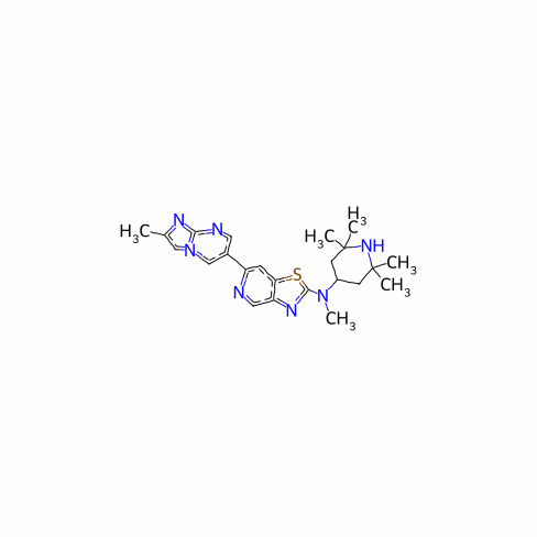 Cc1cn2cc(-c3cc4sc(N(C)C5CC(C)(C)NC(C)(C)C5)nc4cn3)cnc2n1